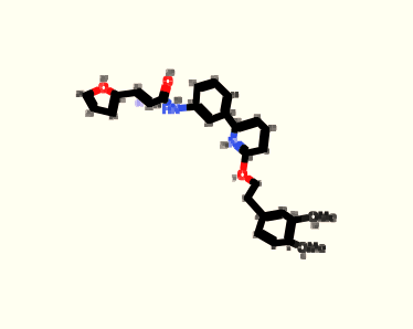 COc1ccc(CCOc2cccc(-c3cccc(NC(=O)/C=C/c4ccco4)c3)n2)cc1OC